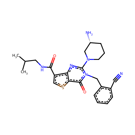 CC(C)CNC(=O)c1csc2c(=O)n(Cc3ccccc3C#N)c(N3CCC[C@@H](N)C3)nc12